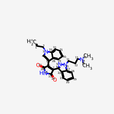 C=CCn1cc(C2=C(c3nn(CCCN(C)C)c4ccccc34)C(=O)NC2=O)c2ccccc21